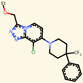 CCOCc1nnc2c(Cl)c(N3CCC(c4ccccc4)(C(F)(F)F)CC3)ccn12